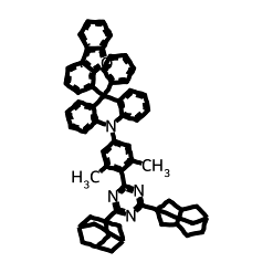 Cc1cc(N2c3ccccc3C(c3ccccc3)(c3cccc4c3oc3ccccc34)c3ccccc32)cc(C)c1-c1nc(C23CC4CC(CC(C4)C2)C3)nc(C23CC4CCC(C2)C(C4)C3)n1